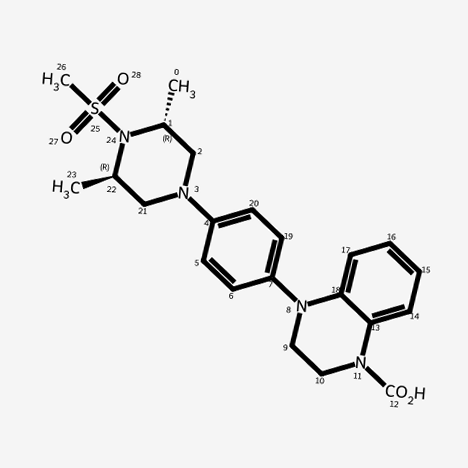 C[C@@H]1CN(c2ccc(N3CCN(C(=O)O)c4ccccc43)cc2)C[C@@H](C)N1S(C)(=O)=O